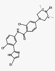 CCc1cnc(-c2cc(NC(=O)c3ccc(N4C[C@@H](C)N(CC)[C@@H](C)C4)cc3Cl)ccc2Cl)[nH]1